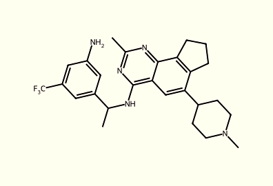 Cc1nc(NC(C)c2cc(N)cc(C(F)(F)F)c2)c2cc(C3CCN(C)CC3)c3c(c2n1)CCC3